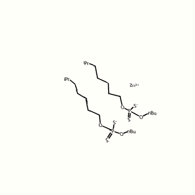 CCCCOP(=S)([S-])OCCCCCC(C)C.CCCCOP(=S)([S-])OCCCCCC(C)C.[Zn+2]